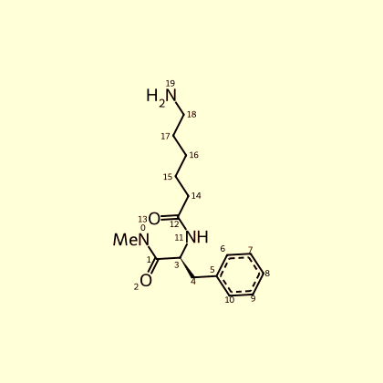 CNC(=O)[C@H](Cc1ccccc1)NC(=O)CCCCCN